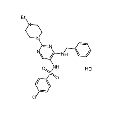 CCN1CCN(c2ncc(NS(=O)(=O)c3ccc(Cl)cc3)c(NCc3ccccc3)n2)CC1.Cl